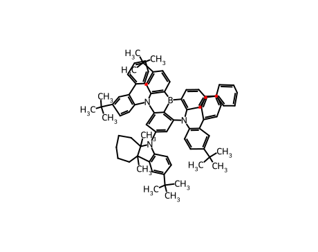 CC(C)(C)c1ccc(N2c3cc(-c4ccccc4)ccc3B3c4ccc(C(C)(C)C)cc4N(c4ccc(C(C)(C)C)cc4-c4ccccc4)c4cc(N5c6ccc(C(C)(C)C)cc6C6(C)CCCCCC56C)cc2c43)c(-c2ccccc2)c1